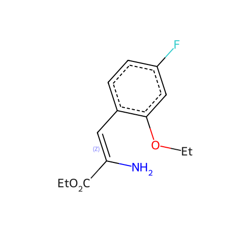 CCOC(=O)/C(N)=C/c1ccc(F)cc1OCC